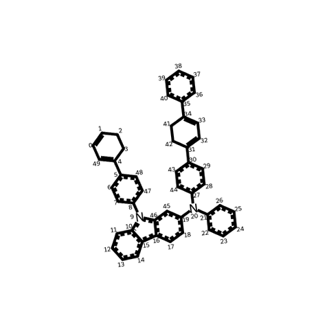 C1=CCCC(c2ccc(-n3c4ccccc4c4ccc(N(c5ccccc5)c5ccc(C6=CC=C(c7ccccc7)CC6)cc5)cc43)cc2)=C1